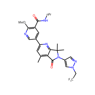 CCCNC(=O)c1cc(-c2cc(C)c3c(n2)C(C)(C)N(c2cnn(CC(F)(F)F)c2)C3=O)cnc1OC